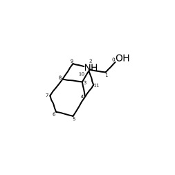 OCCC1C2CCCC1CNC2